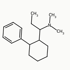 CCC(C1CCCCC1c1ccccc1)N(C)C